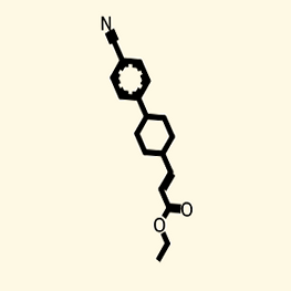 CCOC(=O)/C=C/C1CCC(c2ccc(C#N)cc2)CC1